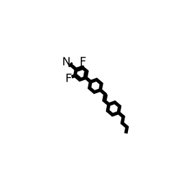 CCCCC1CCC(C=CC2CCC(c3cc(F)c(C#N)c(F)c3)CC2)CC1